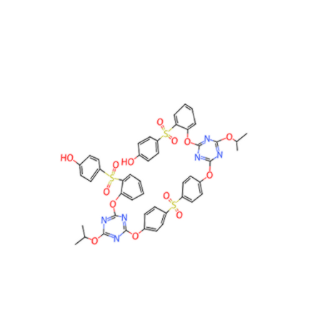 CC(C)Oc1nc(Oc2ccc(S(=O)(=O)c3ccc(Oc4nc(Oc5ccccc5S(=O)(=O)c5ccc(O)cc5)nc(OC(C)C)n4)cc3)cc2)nc(Oc2ccccc2S(=O)(=O)c2ccc(O)cc2)n1